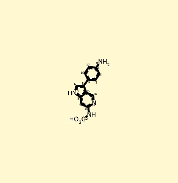 Nc1ccc(-c2c[nH]c3cc(NC(=O)O)ncc23)cc1